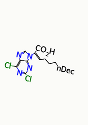 CCCCCCCCCCCCCC=C(C(=O)O)n1cnc2c(Cl)nc(Cl)nc21